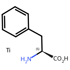 N[C@@H](Cc1ccccc1)C(=O)O.[Ti]